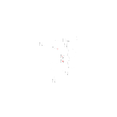 N#Cc1ccc(-n2c3c(c4ccc5c(c42)N(C2C=CC=CC2)[C@@H]2C=CC=CC52)CCC=C3)c(-c2ccc(C#N)c(C#N)c2N2c3ccccc3C3CCC=CC32)c1